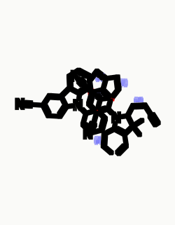 C#C/C=C\C1N(c2cc(C3=C\C/C=C(/C4C=CC=CC4n4c5ccccc5c5cc(C#N)ccc54)C/C=C\3)c(C#N)cc2C#N)C(/C=C\C)=C(C=C)C1(C)C